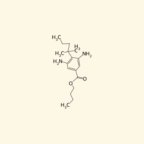 CCCCOC(=O)c1cc(N)c(C(C)(C)CCC)c(N)c1